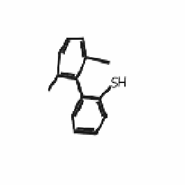 Cc1cccc(C)c1-c1ccccc1S